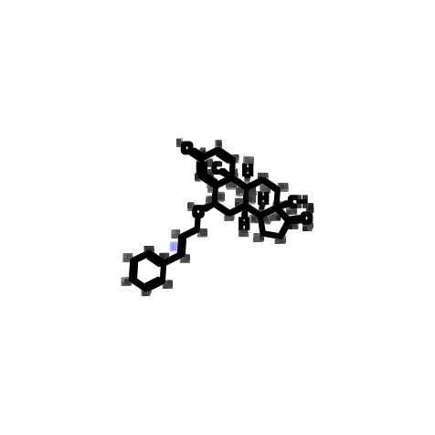 C[C@]12C=CC(=O)C=C1[C@H](OC/C=C/c1ccccc1)C[C@@H]1[C@@H]2CC[C@]2(C)C(=O)CC[C@@H]12